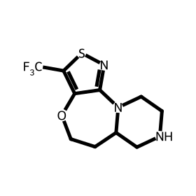 FC(F)(F)c1snc2c1OCCC1CNCCN21